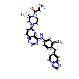 C=CC(=O)N1CCN(c2ccc3ncnc(Nc4ccc(Cc5ccn6ncnc6c5)c(C)c4)c3n2)C[C@H]1C